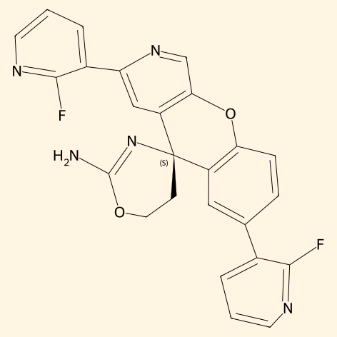 NC1=N[C@@]2(CCO1)c1cc(-c3cccnc3F)ccc1Oc1cnc(-c3cccnc3F)cc12